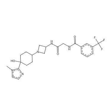 Cn1ccnc1C1(O)CCC(N2CC(NC(=O)CNC(=O)c3cccc(C(F)(F)F)c3)C2)CC1